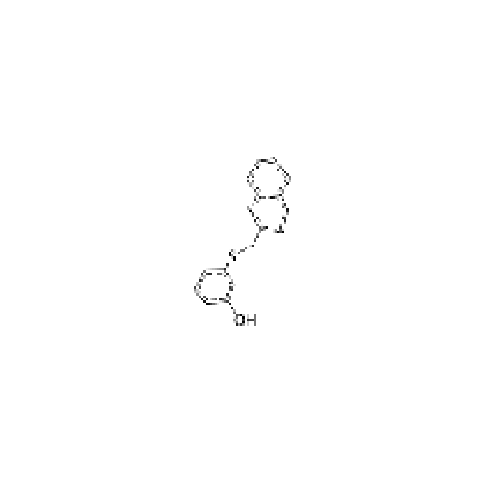 Oc1cccc(SCc2ccc3ccccc3n2)c1